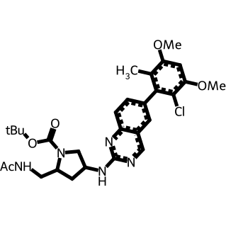 COc1cc(OC)c(Cl)c(-c2ccc3nc(NC4CC(CNC(C)=O)N(C(=O)OC(C)(C)C)C4)ncc3c2)c1C